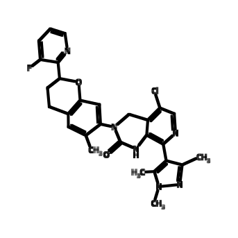 Cc1cc2c(cc1N1Cc3c(Cl)cnc(-c4c(C)nn(C)c4C)c3NC1=O)OC(c1ncccc1F)CC2